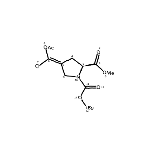 COC(=O)[C@@H]1C/C(=C(/Cl)OC(C)=O)CN1C(=O)OC(C)(C)C